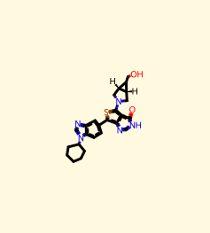 O=c1[nH]cnc2c(-c3ccc4c(c3)ncn4C3CCCCC3)sc(N3C[C@@H]4C(CO)[C@@H]4C3)c12